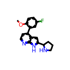 COc1ccc(F)cc1-c1ccnc2[nH]c(C3CCCN3)cc12